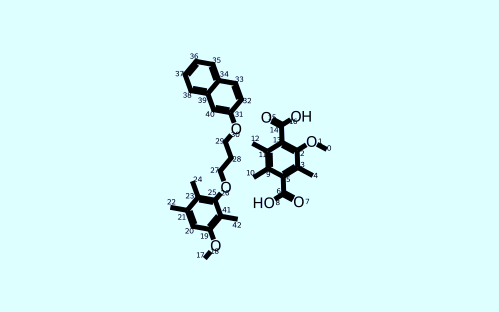 COc1c(C)c(C(=O)O)c(C)c(C)c1C(=O)O.COc1cc(C)c(C)c(OCCCOc2ccc3ccccc3c2)c1C